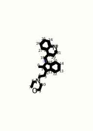 CC1=C(CCN2CCOCC2)c2ccccc2/C1=C\c1ccnc2ccccc12